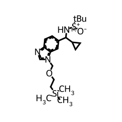 CC(C)(C)[S@+]([O-])NC(c1ccc2ncn(COCC[Si](C)(C)C)c2c1)C1CC1